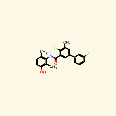 Cc1cc(-c2cccc(F)c2)cc(C(=O)Nc2c(C)ccc(O)c2C)c1F